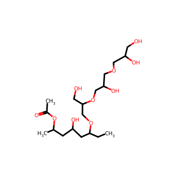 CCC(CC(O)CC(C)OC(C)=O)OCC(CO)OCC(O)COCC(O)CO